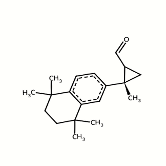 CC1(C)CCC(C)(C)c2cc([C@@]3(C)CC3C=O)ccc21